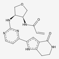 C=CC(=O)N[C@@H]1COC[C@@H]1Nc1nccc(-c2cc3c([nH]2)CCNC3=O)n1